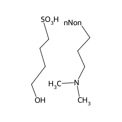 CCCCCCCCCCCCN(C)C.O=S(=O)(O)CCCCO